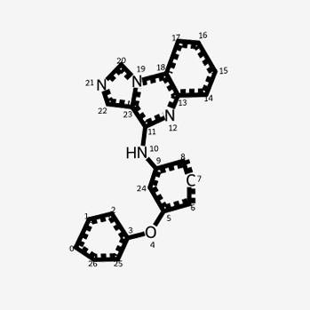 c1ccc(Oc2cccc(Nc3nc4ccccc4n4cncc34)c2)cc1